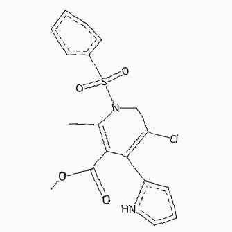 COC(=O)C1=C(C)N(S(=O)(=O)c2ccccc2)CC(Cl)=C1c1ccc[nH]1